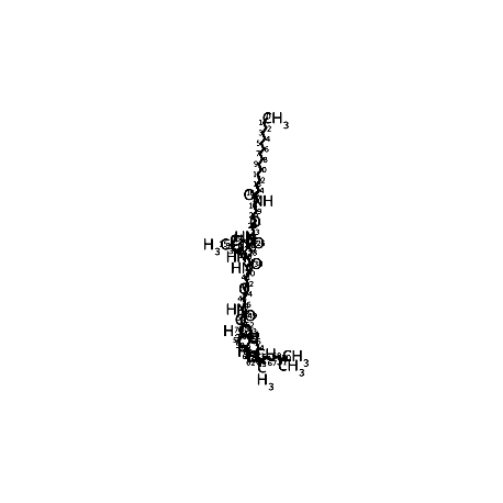 CCCCCCCCCCCCCCCC(=O)NCCCOCCNC(=O)CC[C@H](NC(=O)CC(C)C)C(=O)NCCCOCCCNC(=O)O[C@H]1CC[C@@]2(C)C(=CC[C@H]3[C@@H]4CC[C@H]([C@H](C)CCCC(C)C)[C@@]4(C)CC[C@@H]32)C1